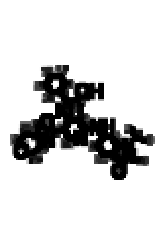 CC(C)n1c2cc(Nc3cc(N[C@H](CO)c4ccccc4)c(C4=NC5(CCOCC5)CO4)cn3)ccc2c(=O)n1C